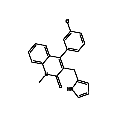 Cn1c(=O)c(Cc2ccc[nH]2)c(-c2cccc(Cl)c2)c2ccccc21